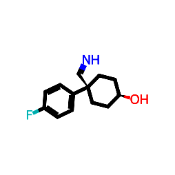 N=C[C@]1(c2ccc(F)cc2)CC[C@H](O)CC1